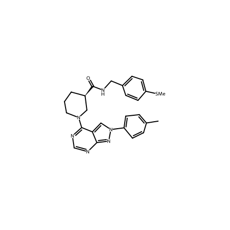 CSc1ccc(CNC(=O)[C@@H]2CCCN(c3ncnc4nn(-c5ccc(C)cc5)cc34)C2)cc1